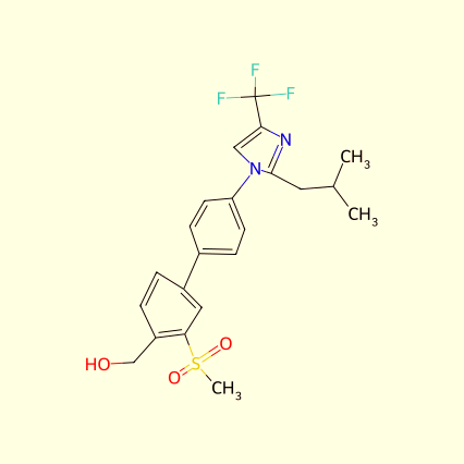 CC(C)Cc1nc(C(F)(F)F)cn1-c1ccc(-c2ccc(CO)c(S(C)(=O)=O)c2)cc1